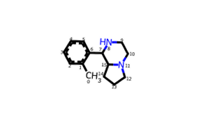 Cc1ccccc1C1NCCN2CCCC12